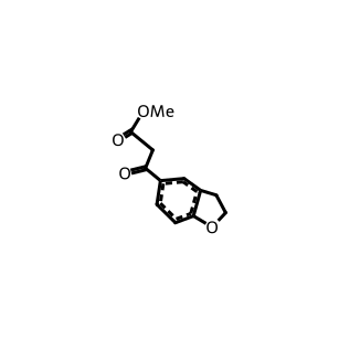 COC(=O)CC(=O)c1ccc2c(c1)CCO2